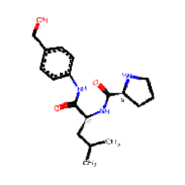 CC(C)C[C@H](NC(=O)[C@@H]1CCCN1)C(=O)Nc1ccc(CO)cc1